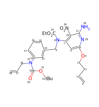 C=CCCOc1cc(N(Cc2cccc(N(CC=C)C(=O)OC(C)(C)C)c2)C(=O)OCC)c([N+](=O)[O-])c(N)n1